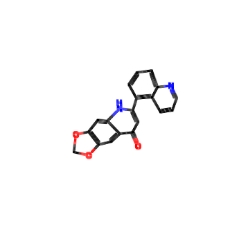 O=c1cc(-c2cccc3ncccc23)[nH]c2cc3c(cc12)OCO3